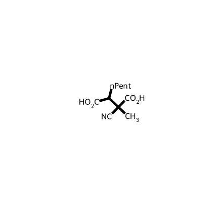 CCCCCC(C(=O)O)C(C)(C#N)C(=O)O